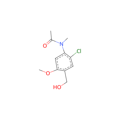 COc1cc(N(C)C(C)=O)c(Cl)cc1CO